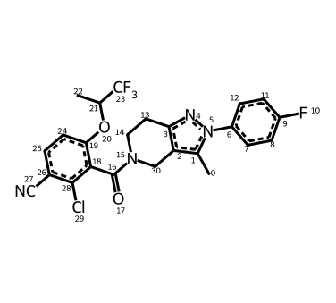 Cc1c2c(nn1-c1ccc(F)cc1)CCN(C(=O)c1c(OC(C)C(F)(F)F)ccc(C#N)c1Cl)C2